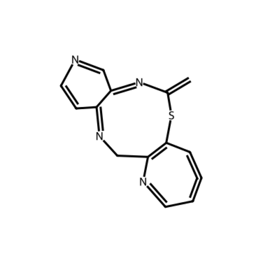 C=C1/N=c2/cncc/c2=N/CC2=C(C=C=CC=N2)S1